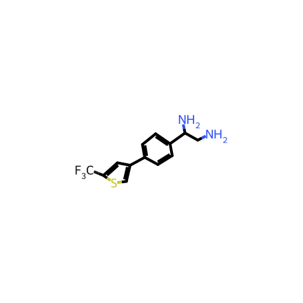 NCC(N)c1ccc(-c2csc(C(F)(F)F)c2)cc1